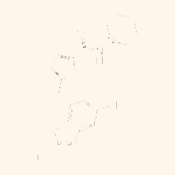 CC(C)c1cc2cc(Cl)cc(Cc3ccc(C(=O)NN4CCOCC4)o3)c2o1